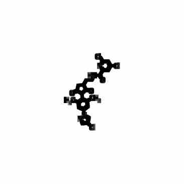 Cc1cc(-n2cc(Cl)cn2)cc(C)c1C1C(=O)CC(CCNC(=O)c2cc(Cl)cc(Cl)n2)C1=O